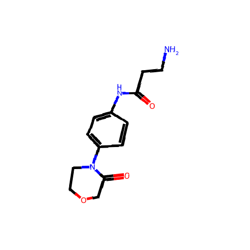 NCCC(=O)Nc1ccc(N2CCOCC2=O)cc1